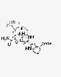 COc1cccc2[nH]c(C(=O)N[C@@H](CC(C)C)C(=O)N[C@@H](C[C@@H]3CCNC3=O)C(=O)C(N)=O)cc12